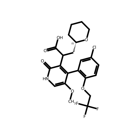 COc1c[nH]c(=O)c(C(C[C@@H]2CCCCO2)C(=O)O)c1-c1cc(Cl)ccc1OCC(F)(F)F